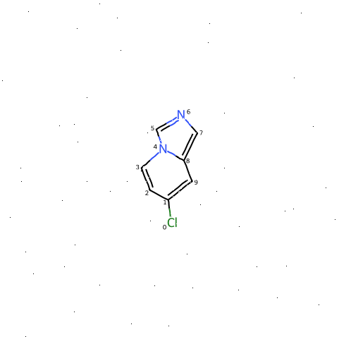 Clc1c[c]n2cncc2c1